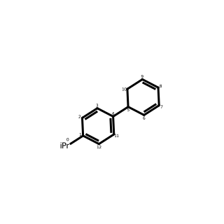 CC(C)c1ccc(C2C=CC=CC2)cc1